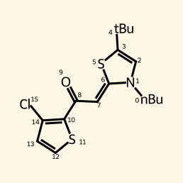 CCCCN1C=C(C(C)(C)C)SC1=CC(=O)c1sccc1Cl